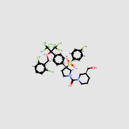 O=C(N1CCC[C@H](CO)C1)N1CC[C@](c2ccc(C(OCc3c(F)cccc3F)(C(F)(F)F)C(F)(F)F)cc2)(S(=O)(=O)c2ccc(F)cc2)C1